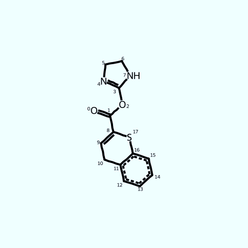 O=C(OC1=NCCN1)C1=CCc2ccccc2S1